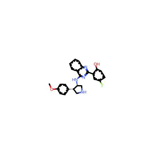 COc1ccc([C@H]2CNC[C@@H]2Nc2nc(-c3cc(F)ccc3O)nc3ccccc23)cc1